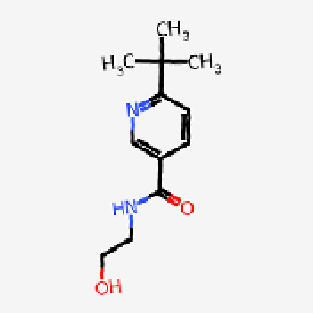 CC(C)(C)c1ccc(C(=O)NCCO)cn1